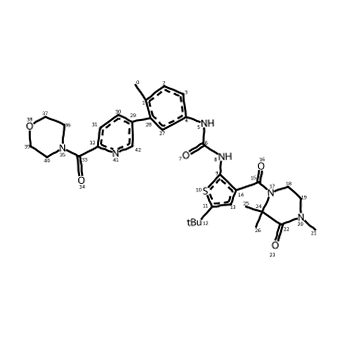 Cc1ccc(NC(=O)Nc2sc(C(C)(C)C)cc2C(=O)N2CCN(C)C(=O)C2(C)C)cc1-c1ccc(C(=O)N2CCOCC2)nc1